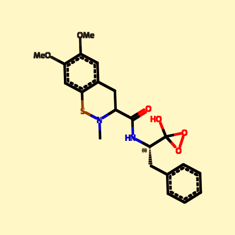 COc1cc2c(cc1OC)SN(C)C(C(=O)N[C@@H](Cc1ccccc1)C1(O)OO1)C2